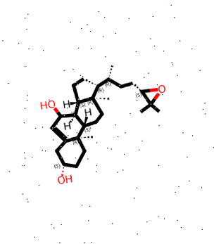 C[C@H](CC[C@@H]1OC1(C)C)[C@H]1CC[C@H]2[C@@H]3C(O)C=C4C[C@@H](O)CC[C@]4(C)[C@H]3CC[C@]12C